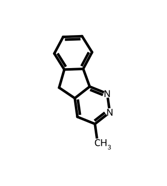 Cc1cc2c(nn1)-c1ccccc1C2